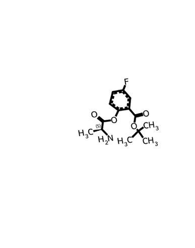 C[C@H](N)C(=O)Oc1ccc(F)cc1C(=O)OC(C)(C)C